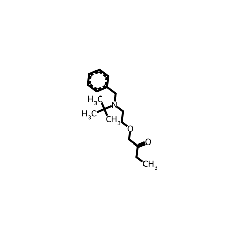 CCC(=O)COCCN(Cc1ccccc1)C(C)(C)C